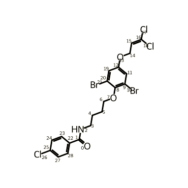 O=C(NCCCCOc1c(Br)cc(OCC=C(Cl)Cl)cc1Br)c1ccc(Cl)cc1